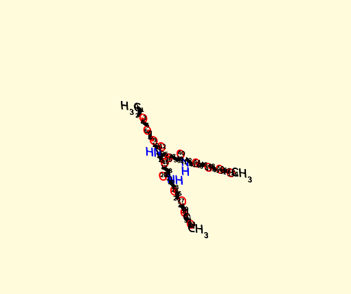 CCCOCCOCCOCC(=O)NC(COCCC(=O)NCCOCCOCCOCCOC)COCCC(=O)NCCOCCOCCOCCOC